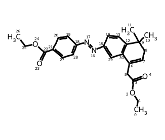 CCOC(=O)CC1=CCC(C)(C)c2ccc(N=Nc3ccc(C(=O)OCC)cc3)cc21